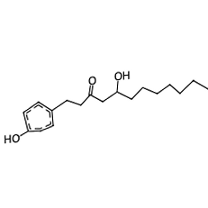 CCCCCCCC(O)CC(=O)CCc1ccc(O)cc1